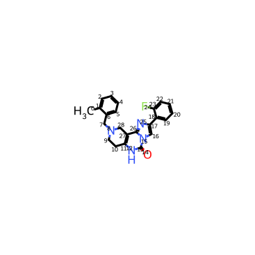 Cc1ccccc1CN1CCc2[nH]c(=O)n3cc(-c4ccccc4F)nc3c2C1